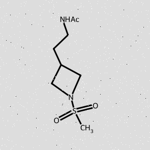 CC(=O)NCCC1CN(S(C)(=O)=O)C1